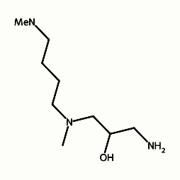 CNCCCCN(C)CC(O)CN